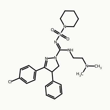 CN(C)CCN/C(=N\S(=O)(=O)N1CCCCC1)N1CC(c2ccccc2)C(c2ccc(Cl)cc2)=N1